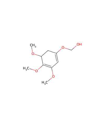 COC1=C(OC)C(OC)CC(OCO)=C1